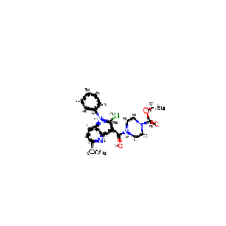 COc1ccc2c(n1)c(C(=O)N1CCN(C(=O)OC(C)(C)C)CC1)c(Cl)n2-c1ccccc1